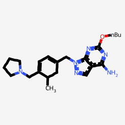 CCCCOc1nc(N)c2cnn(CC3=CC=C(CN4CCCC4)C(C)C3)c2n1